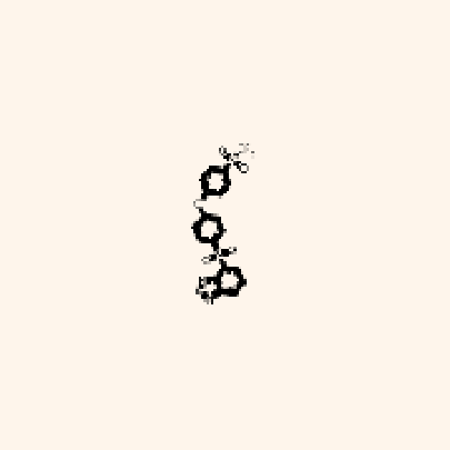 O=S(=O)(c1ccc(Oc2ccc(S(=O)(=O)C(F)(F)F)cc2)cc1)c1cccc2nsnc12